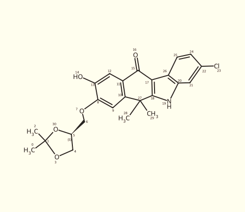 CC1(C)OC[C@H](COc2cc3c(cc2O)C(=O)c2c([nH]c4cc(Cl)ccc24)C3(C)C)O1